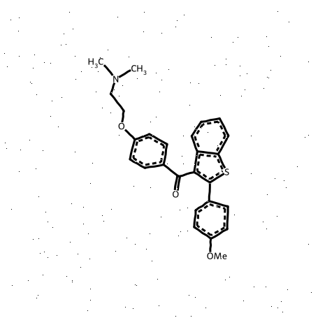 COc1ccc(-c2sc3ccccc3c2C(=O)c2ccc(OCCN(C)C)cc2)cc1